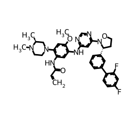 C=CC(=O)Nc1cc(Nc2cc(N3OCC[C@@H]3c3cccc(-c4ccc(F)cc4F)c3)ncn2)c(OC)cc1N1CCN(C)[C@@H](C)C1